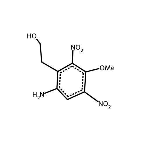 COc1c([N+](=O)[O-])cc(N)c(CCO)c1[N+](=O)[O-]